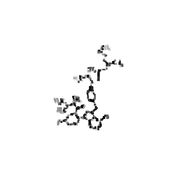 COCCN(C)CCC[C@@H](C(C)C)N1CC[C@H](Cc2cn(-c3ccc(F)cc3C(=O)N(C)C(C)C)c3cncc(Cl)c23)C1